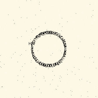 C1CCCCCCCCCCCCCCCCCCCCCCCCCNCCCCCCCCCCCCCCCCCCCCCCCC1